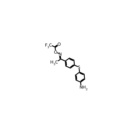 C/C(=N\OC(=O)C(F)(F)F)c1ccc(Sc2ccc(N)cc2)cc1